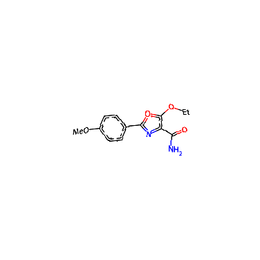 CCOc1oc(-c2ccc(OC)cc2)nc1C(N)=O